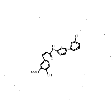 COc1cc(/C=C\C(=O)Nc2nc(-c3cccc(Cl)c3)cs2)ccc1O